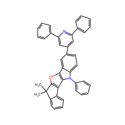 CC1(C)c2ccccc2-c2c1oc1c3cc(-c4cc(-c5ccccc5)nc(-c5ccccc5)c4)ccc3n(-c3ccccc3)c21